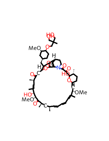 CO[C@H]1C[C@@H]2CC[C@@H](C)[C@@](O)(O2)C(=O)C(=O)N2CC[C@H]3C[C@H]2C(=O)O[C@@H](CC(=O)[C@H](C)/C=C(\C)[C@@H](O)[C@@H](OC)C(=O)[C@H](C)C[C@H](C)/C=C/C=C/C=C/1C)C3C[C@@H]1CC[C@H](OCC(C)(CO)CO)[C@H](OC)C1